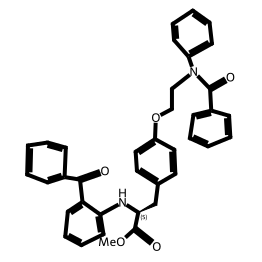 COC(=O)[C@H](Cc1ccc(OCCN(C(=O)c2ccccc2)c2ccccc2)cc1)Nc1ccccc1C(=O)c1ccccc1